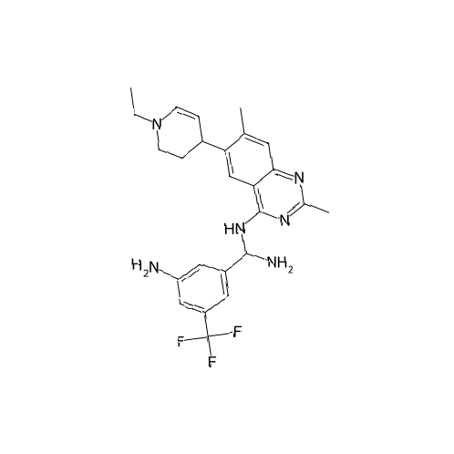 CCN1C=CC(c2cc3c(NC(N)c4cc(N)cc(C(F)(F)F)c4)nc(C)nc3cc2C)CC1